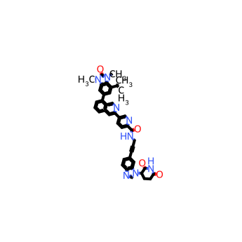 CC(C)c1cc(-c2cccc3cc(-c4ccc(C(=O)NCC#Cc5ccc6ncn(C7CCC(=O)NC7=O)c6c5)nc4)ncc23)cc2c1n(C)c(=O)n2C